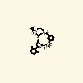 Cc1cccc(C)c1-c1cc2nc(n1)NS(=O)(=O)c1cccc(c1)C(=O)N1CCCN(C3(C(F)(F)F)CC3)CC(C1)O2